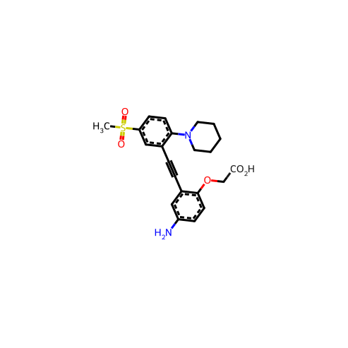 CS(=O)(=O)c1ccc(N2CCCCC2)c(C#Cc2cc(N)ccc2OCC(=O)O)c1